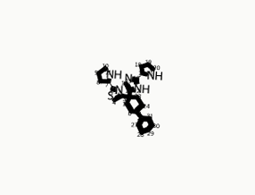 C1=CC(c2csc([C@@H]3CCCN3)n2)(c2cnc([C@@H]3CCCN3)[nH]2)CC=C1c1ccccc1